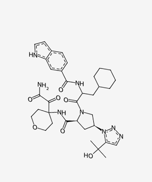 CC(C)(O)c1cnnn1[C@H]1C[C@@H](C(=O)NC2(C(=O)C(N)=O)CCOCC2)N(C(=O)C(CC2CCCCC2)NC(=O)c2ccc3cc[nH]c3c2)C1